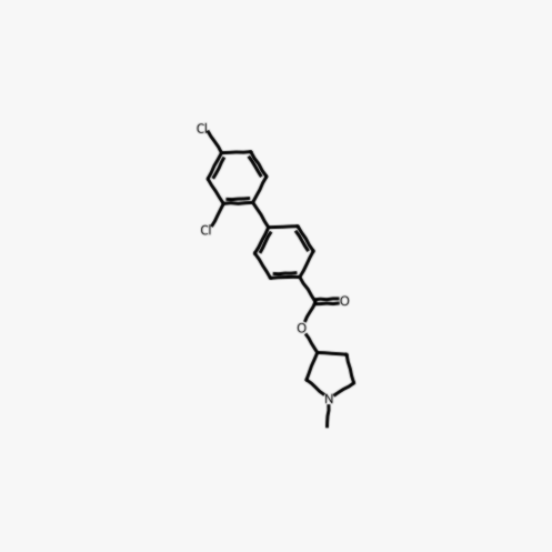 CN1CCC(OC(=O)c2ccc(-c3ccc(Cl)cc3Cl)cc2)C1